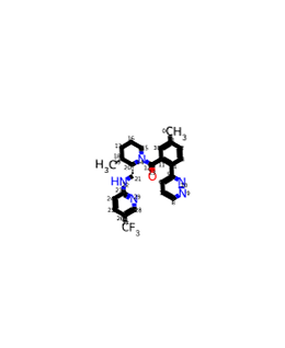 Cc1ccc(-c2cccnn2)c(C(=O)N2CCC[C@@H](C)[C@H]2CNc2ccc(C(F)(F)F)cn2)c1